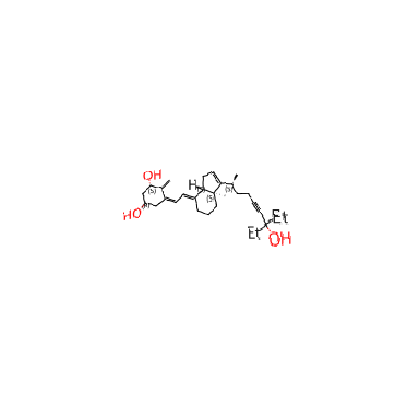 C=C1C(=CC=C2CCC[C@]3(C)C([C@@H](C)CCC#CC(O)(CC)CC)=CC[C@@H]23)C[C@@H](O)C[C@@H]1O